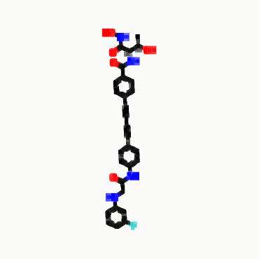 C[C@@H](O)[C@H](NC(=O)c1ccc(C#CC#Cc2ccc(NC(=O)CNc3cccc(F)c3)cc2)cc1)C(=O)NO